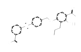 CCCc1c(OCc2ccc(S(=O)(=O)c3cccc(C(=O)O)c3)cc2)ccc(C(C)=O)c1O